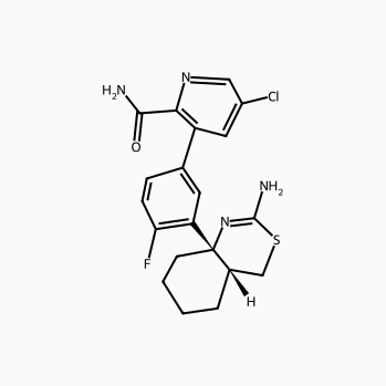 NC(=O)c1ncc(Cl)cc1-c1ccc(F)c([C@]23CCCC[C@H]2CSC(N)=N3)c1